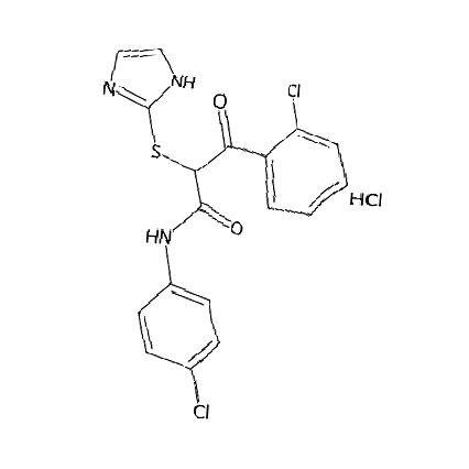 Cl.O=C(Nc1ccc(Cl)cc1)C(Sc1ncc[nH]1)C(=O)c1ccccc1Cl